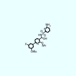 CCCOc1nc(-c2cc(F)cc(OCC(C)C)c2)ccc1C(O)NS(=O)(=O)c1cccc(N)n1